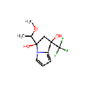 COC(C)C1(O)CC(O)(C(F)(F)F)c2cccn21